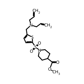 C=CCN(CC=C)Cc1ccc(S(=O)(=O)N2CCC(C(=O)OC)CC2)s1